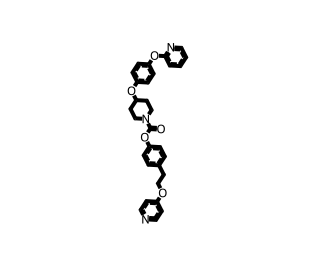 O=C(Oc1ccc(CCOc2ccncc2)cc1)N1CCC(Oc2ccc(Oc3ccccn3)cc2)CC1